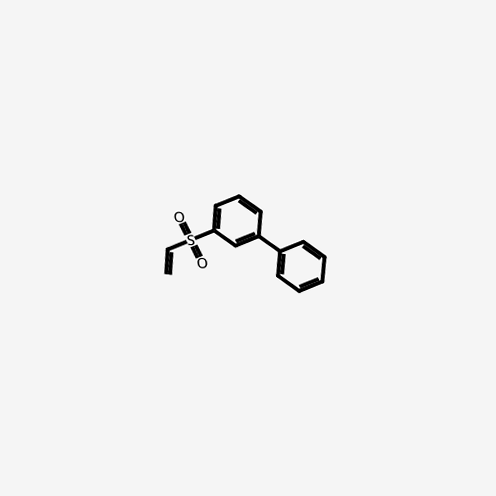 C=CS(=O)(=O)c1cccc(-c2ccccc2)c1